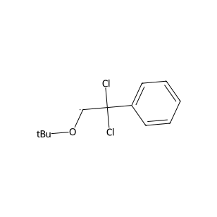 CC(C)(C)O[CH]C(Cl)(Cl)c1ccccc1